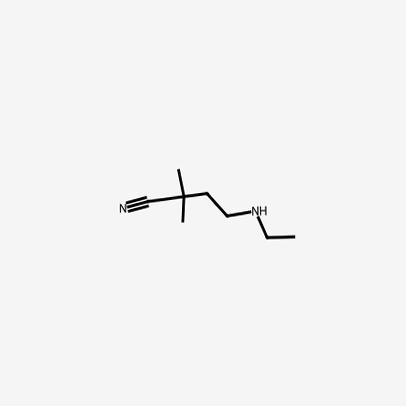 CCNCCC(C)(C)C#N